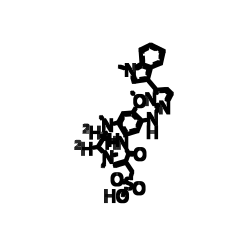 [2H]C(N(C)C)C([2H])([2H])N(C)c1cc(OC)c(Nc2nccc(-c3cn(C)c4ccccc34)n2)cc1NC(=O)C(=C)CS(=O)(=O)O